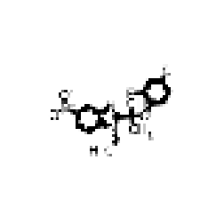 CCn1c(C(C)(C)Oc2ccc(Cl)cc2F)nc2cc([N+](=O)[O-])ccc21